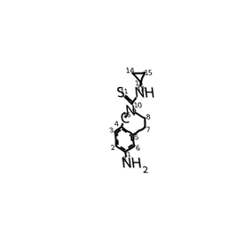 Nc1ccc2c(c1)CCN(C(=S)NC1CC1)C2